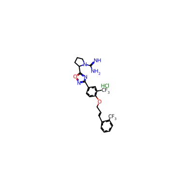 Cl.N=C(N)N1CCCC1c1nc(-c2ccc(OCC=Cc3ccccc3C(F)(F)F)c(C(F)(F)F)c2)no1